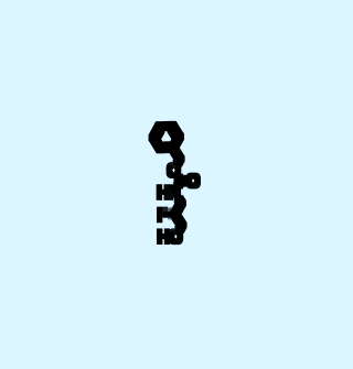 O=C(NC[C@@H](F)CO)OCc1ccccc1